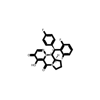 O=C1c2c(O)c(=O)cnn2[C@@H]([C@@H](c2ccc(F)cc2)c2c(F)cccc2F)[C@H]2CCCN12